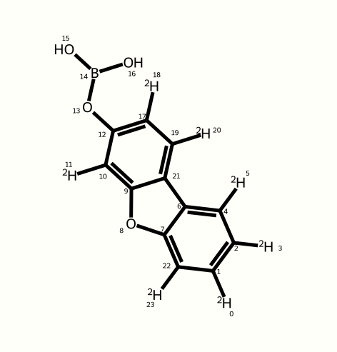 [2H]c1c([2H])c([2H])c2c(oc3c([2H])c(OB(O)O)c([2H])c([2H])c32)c1[2H]